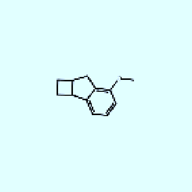 COc1cccc2c1CC1CCC21